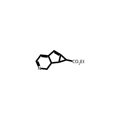 CCOC(=O)C1C2=CC3=CC=NCC3C21